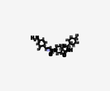 Cc1cc(N)ccc1/C=C/[S@+]([O-])N1CCC2(CC1)N=C(C1CCC(C)CC1)NC2=O